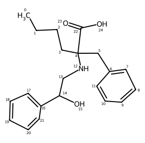 CCCCC(Cc1ccccc1)(NCC(O)c1ccccc1)C(=O)O